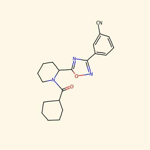 N#Cc1cccc(-c2noc(C3CCCCN3C(=O)C3CCCCC3)n2)c1